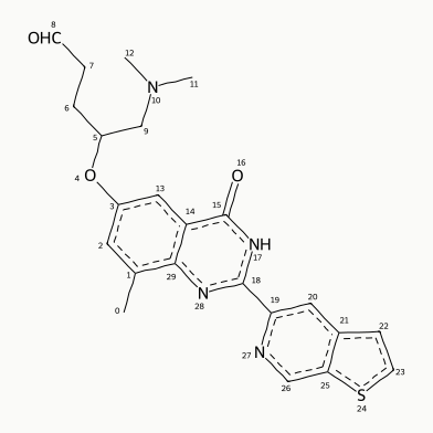 Cc1cc(OC(CCC=O)CN(C)C)cc2c(=O)[nH]c(-c3cc4ccsc4cn3)nc12